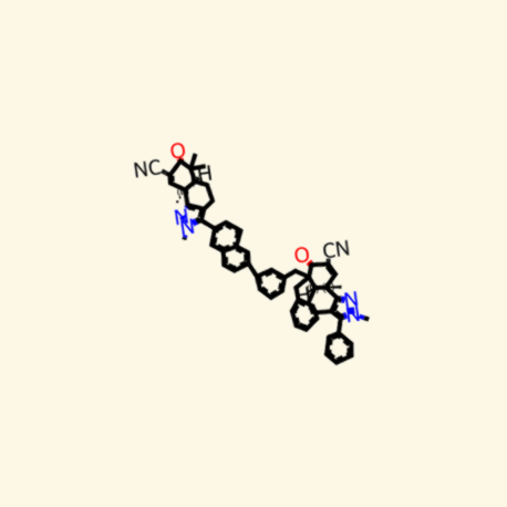 Cn1nc2c(c1-c1ccc3cc(-c4cccc(CC5(Cc6ccccc6)C(=O)C(C#N)=C[C@]6(C)c7nn(C)c(-c8ccccc8)c7CC[C@@H]56)c4)ccc3c1)CC[C@H]1C(C)(C)C(=O)C(C#N)=C[C@]21C